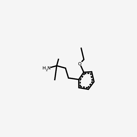 CCOc1ccccc1CCC(C)(C)N